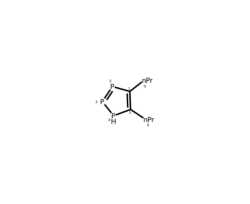 CCCc1pp[pH]c1CCC